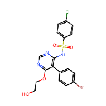 O=S(=O)(Nc1ncnc(OCCO)c1-c1ccc(Br)cc1)c1ccc(Cl)cc1